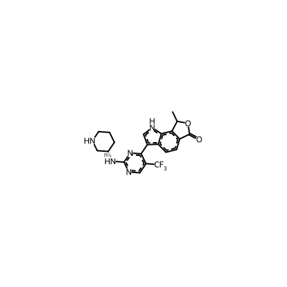 CC1OC(=O)c2ccc3c(-c4nc(N[C@H]5CCCNC5)ncc4C(F)(F)F)c[nH]c3c21